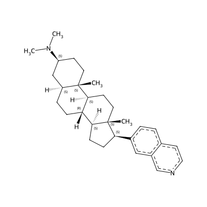 CN(C)[C@H]1CC[C@@]2(C)[C@@H](CC[C@@H]3[C@@H]2CC[C@]2(C)[C@@H](c4ccc5ccncc5c4)CC[C@@H]32)C1